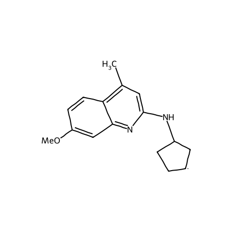 COc1ccc2c(C)cc(NC3C[CH]CC3)nc2c1